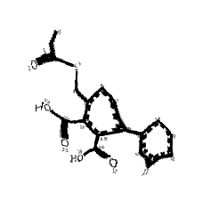 CC(=O)SCc1ccc(-c2ccccc2)c(C(=O)O)c1C(=O)O